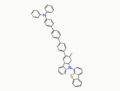 CC1Cc2c(c3ccccc3n2-c2cccc3c2sc2ccccc23)C=C1c1ccc(-c2ccc(-c3ccc(N(c4ccccc4)c4ccccc4)cc3)cc2)cc1